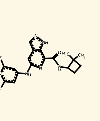 CC1(C)CCC1NC(=O)c1nc(Nc2cc(F)nc(F)c2)cc2cn[nH]c12